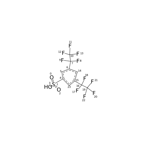 O=S(=O)(O)c1cc(C(F)(F)C(F)(F)F)cc(C(F)(F)C(F)(F)F)c1